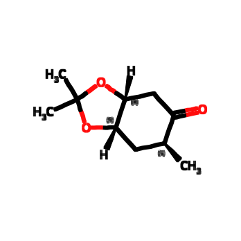 C[C@H]1C[C@@H]2OC(C)(C)O[C@@H]2CC1=O